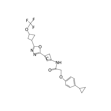 O=C(COc1ccc(C2CC2)cc1)NC12CC(c3nnc(C4CC(OC(F)(F)F)C4)o3)(C1)C2